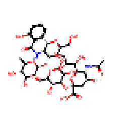 CC(=O)N[C@@H]1C(O)C[C@](OC2C(O)[C@H](O[C@@H]3C(CO)O[C@@H](C)C(NC(=O)c4ccccc4O)[C@H]3O[C@@H]3OC(C)[C@@H](O)C(O)[C@@H]3O)OC(CO)[C@@H]2O)(C(=O)O)OC1[C@H](O)[C@H](O)CO